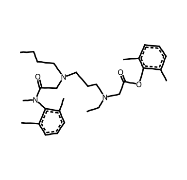 CCCCN(CCCN(CC)CC(=O)Oc1c(C)cccc1C)CC(=O)N(C)c1c(C)cccc1C